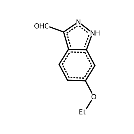 CCOc1ccc2c(C=O)n[nH]c2c1